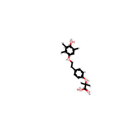 Cc1cc(OCCc2ccc(OC(C)(C)C(=O)O)cc2)c(C)c(C)c1O